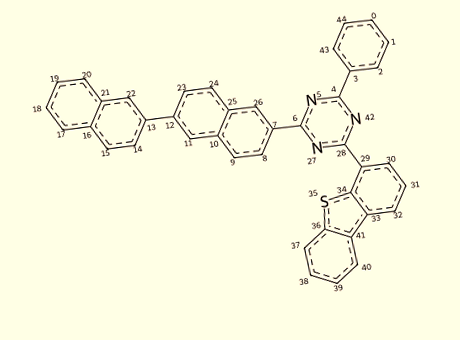 c1ccc(-c2nc(-c3ccc4cc(-c5ccc6ccccc6c5)ccc4c3)nc(-c3cccc4c3sc3ccccc34)n2)cc1